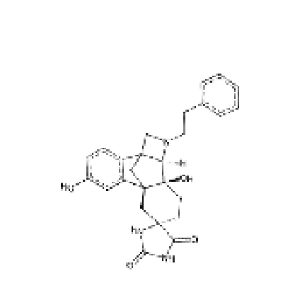 O=C1NC(=O)[C@@]2(CC[C@@]3(O)[C@@H]4N(CCc5ccccc5)CC45C[C@@]3(C2)c2cc(O)ccc25)N1